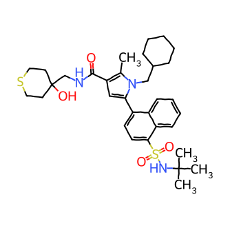 Cc1c(C(=O)NCC2(O)CCSCC2)cc(-c2ccc(S(=O)(=O)NC(C)(C)C)c3ccccc23)n1CC1CCCCC1